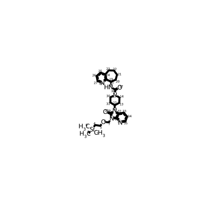 C[Si](C)(C)CCOCn1c(=O)n(C2CCN(C(=O)N[C@@H]3CCCCc4cccnc43)CC2)c2cccnc21